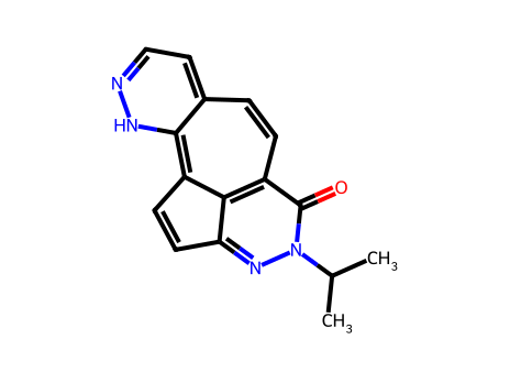 CC(C)n1nc2ccc3c4c(ccc(c2-3)c1=O)=CC=NN4